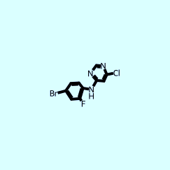 Fc1cc(Br)ccc1Nc1cc(Cl)ncn1